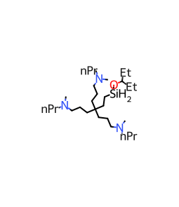 CCCN(C)CCCC(CCCN(C)CCC)(CCCN(C)CCC)CC[SiH2]OC(CC)CC